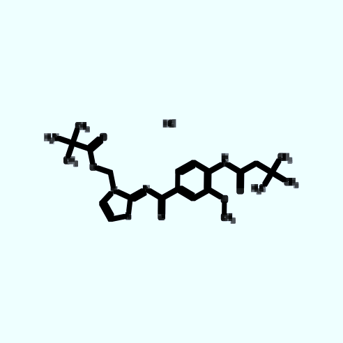 COc1cc(C(=O)/N=c2\sccn2COC(=O)C(C)(C)N)ccc1NC(=O)CC(C)(C)C.Cl